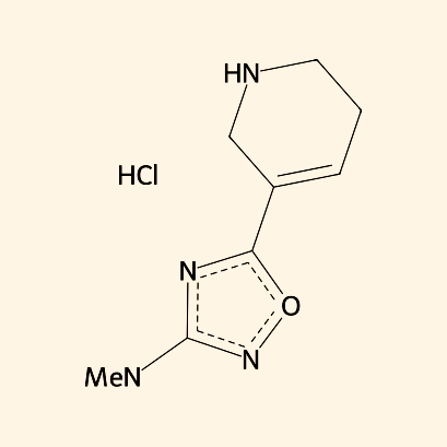 CNc1noc(C2=CCCNC2)n1.Cl